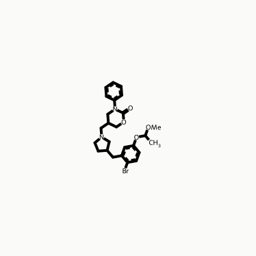 COC(C)Oc1ccc(Br)c(CC2CCN(CC3COC(=O)N(c4ccccc4)C3)C2)c1